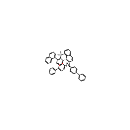 CC1(C)c2c(-c3cccc4ccccc34)cccc2-c2c(N(c3ccc(-c4ccccc4)cc3)c3ccc(-c4ccccc4)cc3)ccc3cccc1c23